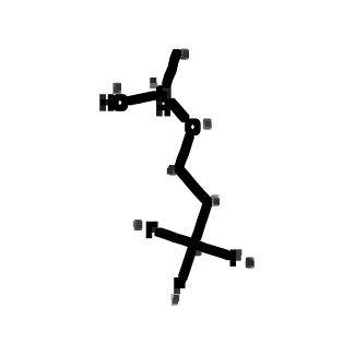 C[SiH](O)OCCC(F)(F)F